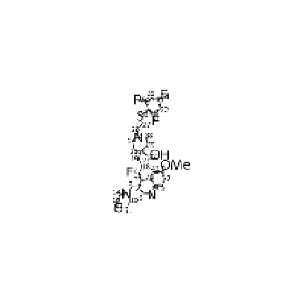 COc1ccc2ncc(CN3CCOCC3)c([C@H](F)CCC3(CO)CCN(CCSc4c(F)cc(F)cc4F)CC3)c2c1